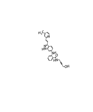 Cc1ccnc(/C=C/c2n[nH]c3cc(Nc4ccccc4C(=O)NCC#CCO)ccc23)c1